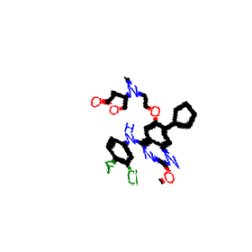 COc1nc(Nc2ccc(F)c(Cl)c2)c2cc(OCCN(C)C3COC(=O)C3)c(C3CCCC3)cc2n1